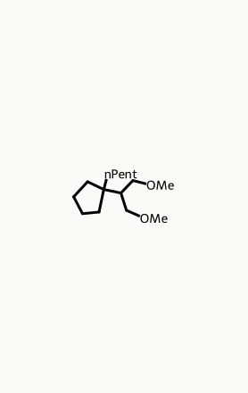 CCCCCC1(C(COC)COC)CCCC1